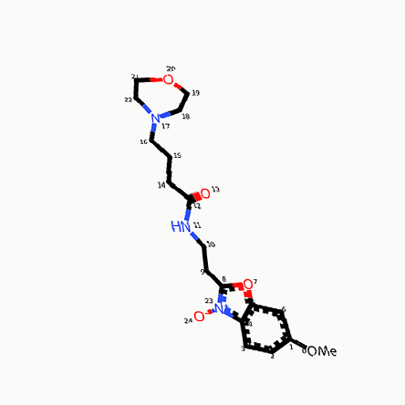 COc1ccc2c(c1)oc(CCNC(=O)CCCN1CCOCC1)[n+]2[O-]